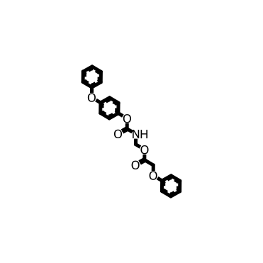 O=C(COc1ccccc1)OCNC(=O)Oc1ccc(Oc2ccccc2)cc1